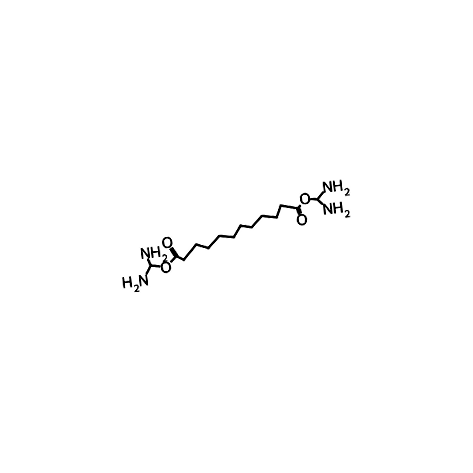 NC(N)OC(=O)CCCCCCCCCCC(=O)OC(N)N